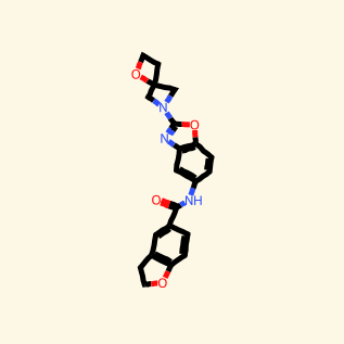 O=C(Nc1ccc2oc(N3CC4(CCO4)C3)nc2c1)c1ccc2c(c1)CCO2